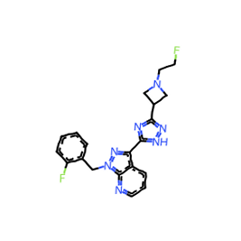 FCCN1CC(c2n[nH]c(-c3nn(Cc4ccccc4F)c4ncccc34)n2)C1